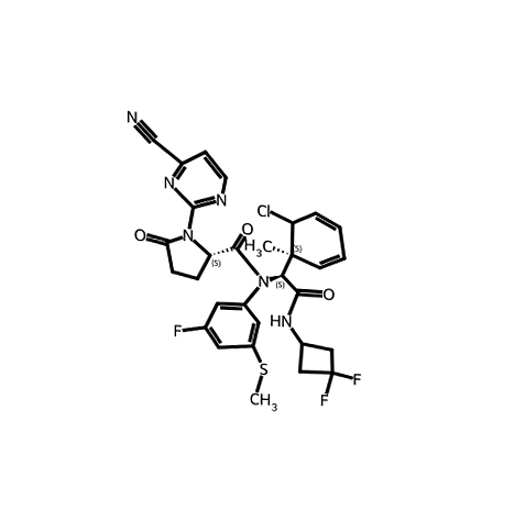 CSc1cc(F)cc(N(C(=O)[C@@H]2CCC(=O)N2c2nccc(C#N)n2)[C@H](C(=O)NC2CC(F)(F)C2)[C@]2(C)C=CC=CC2Cl)c1